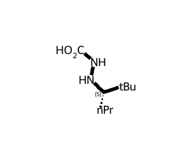 CCC[C@H](NNC(=O)O)C(C)(C)C